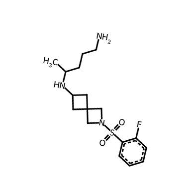 CC(CCCN)NC1CC2(C1)CN(S(=O)(=O)c1ccccc1F)C2